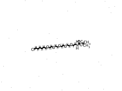 CC(C)(C)OC(=O)NCCOCCOCCOCCOCCOCCCCCCCl